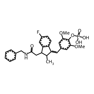 COc1cc(/C=C2\c3ccc(F)cc3C(CC(=O)NCc3ccccc3)C2C)cc(OC)c1OP(=O)(O)O